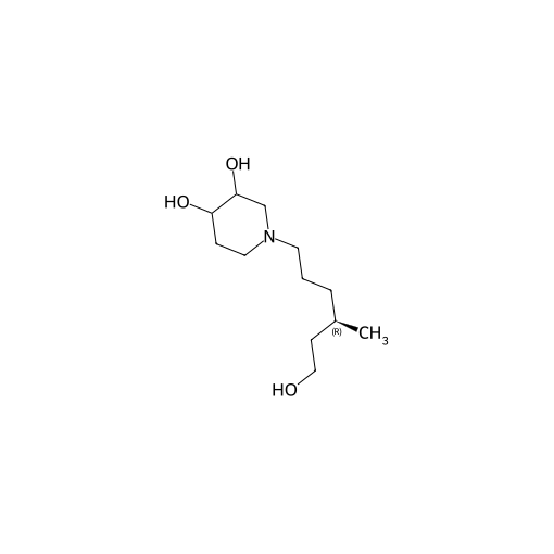 C[C@@H](CCO)CCCN1CCC(O)C(O)C1